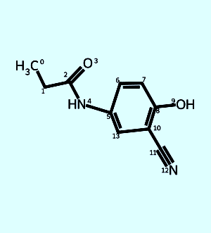 CCC(=O)Nc1ccc(O)c(C#N)c1